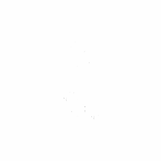 Cc1ccc(S(=O)(=O)OCCc2c[nH]c3ccc([N+](=O)[O-])cc23)cc1